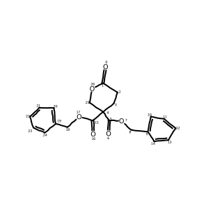 O=C1CCC(C(=O)OCc2ccccc2)(C(=O)OCc2ccccc2)CO1